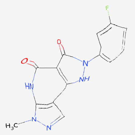 Cn1ncc2c3[nH]n(-c4cccc(F)c4)c(=O)c3c(=O)[nH]c21